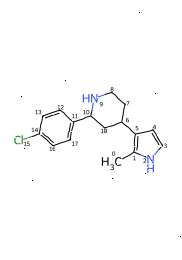 Cc1[nH]ccc1C1CCNC(c2ccc(Cl)cc2)C1